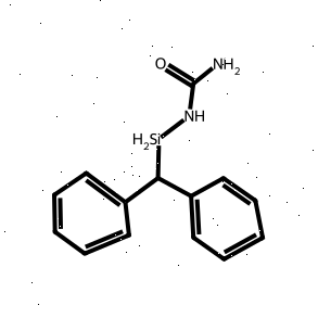 NC(=O)N[SiH2]C(c1ccccc1)c1ccccc1